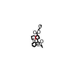 CCNC(=O)C(c1ccc(C(=O)OCCOC)cc1)c1ccccc1N1CCCCC1